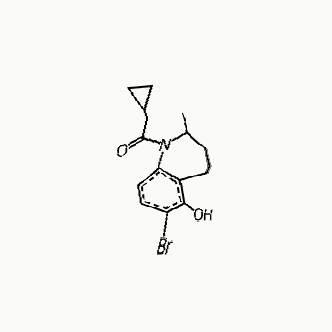 CC1CCc2c(ccc(Br)c2O)N1C(=O)C1CC1